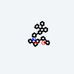 c1ccc(-c2ccccc2N(c2cccc(-c3ccc4c(c3)c(-c3ccccc3)c(-c3ccccc3)c3ccccc34)c2)c2cccc(-c3cccc4c3oc3ccccc34)c2)cc1